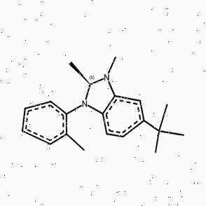 Cc1ccccc1N1c2ccc(C(C)(C)C)cc2N(C)[C@@H]1C